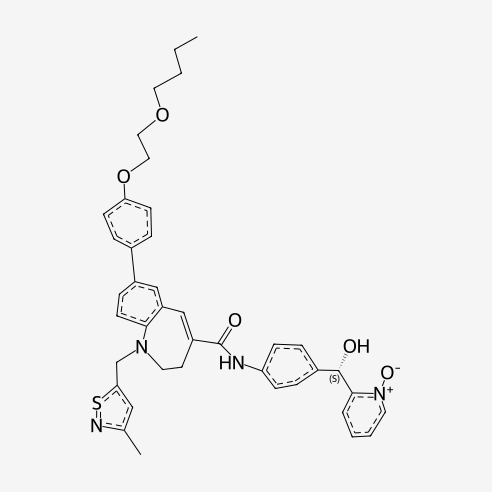 CCCCOCCOc1ccc(-c2ccc3c(c2)C=C(C(=O)Nc2ccc([C@H](O)c4cccc[n+]4[O-])cc2)CCN3Cc2cc(C)ns2)cc1